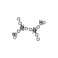 c1ccc(-c2ccc(-c3cc(-c4ccc(-c5cnc6ccccc6c5)cc4)nc(-c4ccc(-c5ccc(-c6nc(-c7ccc(-c8ccccc8)cc7)cc(-c7ccc(-c8cnc9ccccc9c8)cc7)n6)cc5)cc4)n3)cc2)cc1